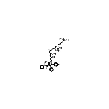 CC(C)c1c(C(=O)Nc2ccccc2)c(-c2ccccc2)c(-c2ccc(F)cc2)n1CCC(O)CC(O)CC(=O)OCC(COCCCON(O)O)ON(O)O